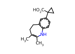 CC1=C(C)Nc2ccc(C3(C(=O)O)CC3)cc2CC1